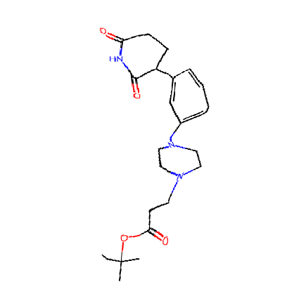 CC(C)(C)OC(=O)CCN1CCN(c2cccc(C3CCC(=O)NC3=O)c2)CC1